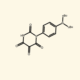 CCCCN(CCCC)c1ccc(N2C(=O)NC(=O)C(=O)C2=O)cc1